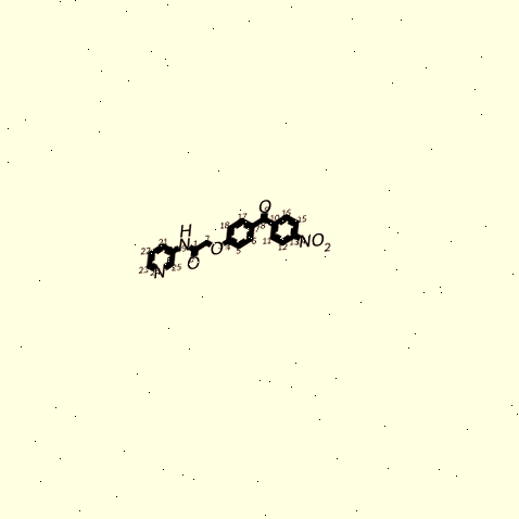 O=C(COc1ccc(C(=O)c2ccc([N+](=O)[O-])cc2)cc1)Nc1cccnc1